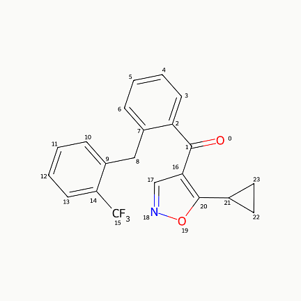 O=C(c1ccccc1Cc1ccccc1C(F)(F)F)c1cnoc1C1CC1